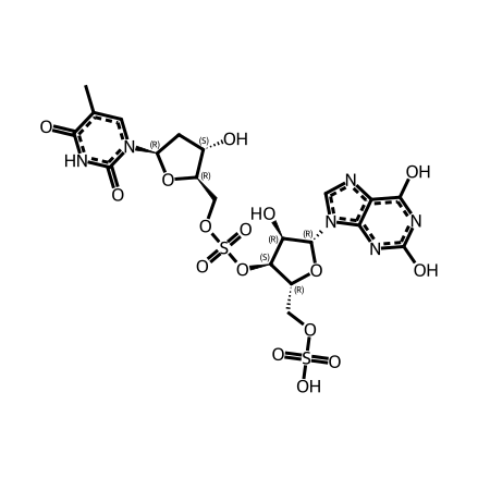 Cc1cn([C@H]2C[C@H](O)[C@@H](COS(=O)(=O)O[C@H]3[C@@H](O)[C@H](n4cnc5c(O)nc(O)nc54)O[C@@H]3COS(=O)(=O)O)O2)c(=O)[nH]c1=O